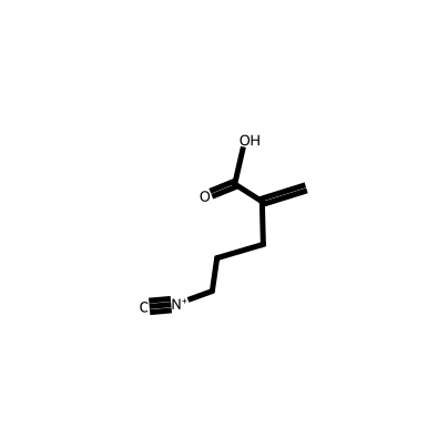 [C-]#[N+]CCCC(=C)C(=O)O